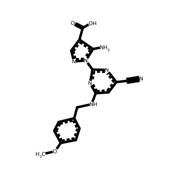 COc1ccc(CNc2cc(C#N)nc(-n3ncc(C(=O)O)c3N)n2)cc1